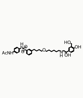 CC(=O)Nc1ccc(NS(=O)(=O)c2cccc(CCCCOCCCCCCNC[C@H](O)c3ccc(O)c(CO)c3)c2)cc1